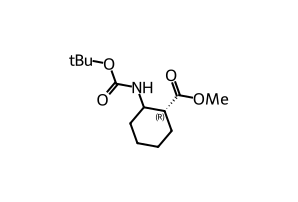 COC(=O)[C@@H]1CCCCC1NC(=O)OC(C)(C)C